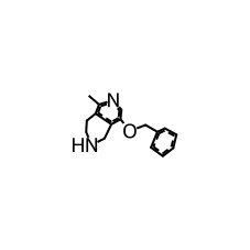 Cc1ncc(OCc2ccccc2)c2c1CCNC2